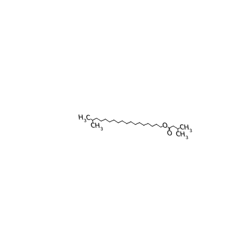 CC(C)CCCCCCCCCCCCCCCCOC(=O)CC(C)C